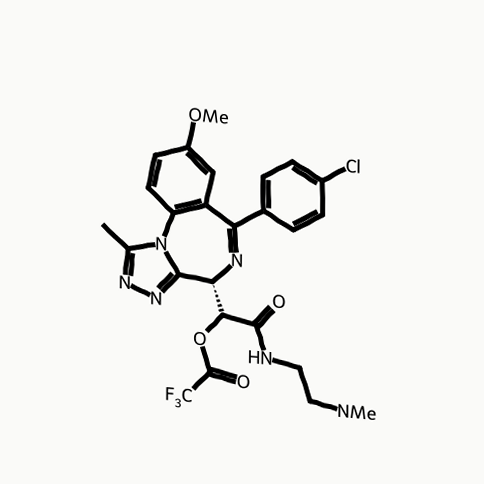 CNCCNC(=O)C(OC(=O)C(F)(F)F)[C@H]1N=C(c2ccc(Cl)cc2)c2cc(OC)ccc2-n2c(C)nnc21